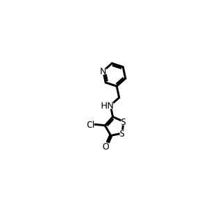 O=c1ssc(NCc2cccnc2)c1Cl